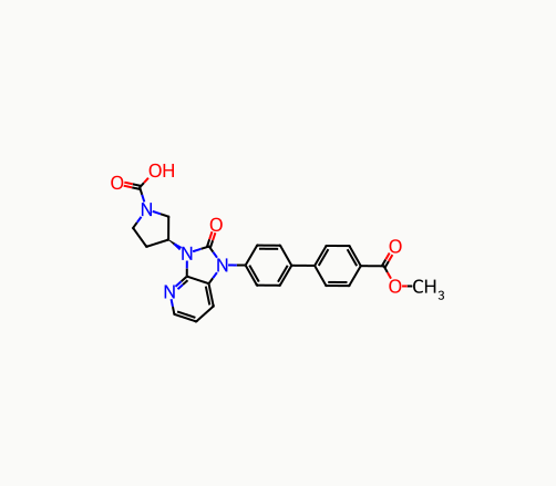 COC(=O)c1ccc(-c2ccc(-n3c(=O)n([C@H]4CCN(C(=O)O)C4)c4ncccc43)cc2)cc1